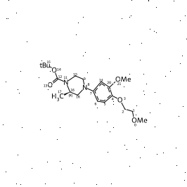 COCCOc1ccc(N2CCN(C(=O)OC(C)(C)C)[C@H](C)C2)cc1OC